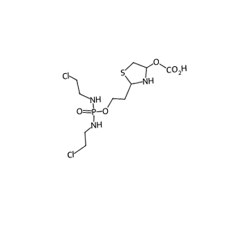 O=C(O)OC1CSC(CCOP(=O)(NCCCl)NCCCl)N1